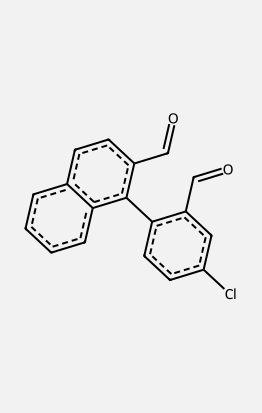 O=Cc1cc(Cl)ccc1-c1c(C=O)ccc2ccccc12